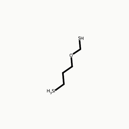 [SiH3]CCCOCS